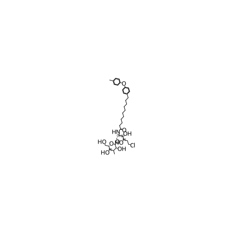 Cc1ccc(Oc2ccc(CCCCCCCCCCC(=O)N[C@@H](COC3OC(CO)[C@H](O)C(C)C3O)[C@H](O)[C@H](O)CCCl)cc2)cc1